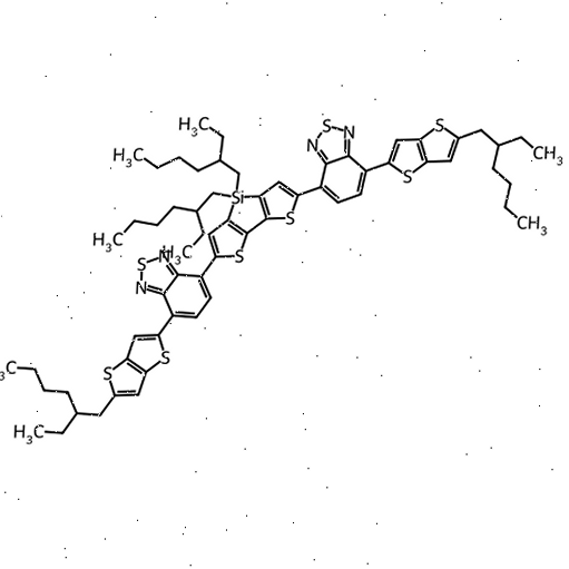 CCCCC(CC)Cc1cc2sc(-c3ccc(-c4cc5c(s4)-c4sc(-c6ccc(-c7cc8sc(CC(CC)CCCC)cc8s7)c7nsnc67)cc4[Si]5(CC(CC)CCCC)CC(CC)CCCC)c4nsnc34)cc2s1